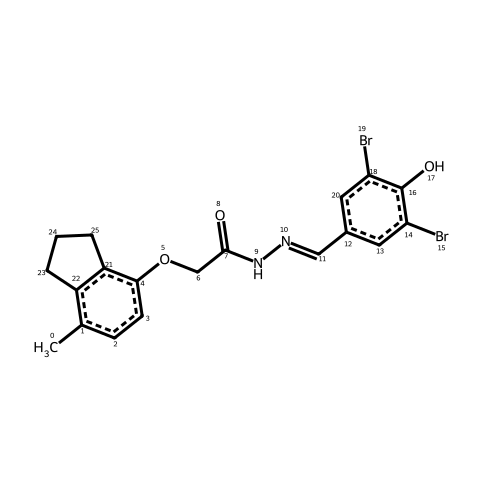 Cc1ccc(OCC(=O)NN=Cc2cc(Br)c(O)c(Br)c2)c2c1CCC2